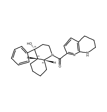 O=C(c1ccc2c(n1)NCCC2)N1CC[C@](O)(c2ccccc2)[C@H]2CCCC[C@H]21